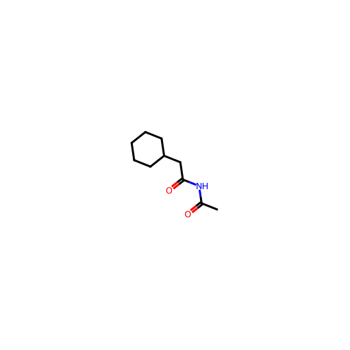 CC(=O)NC(=O)CC1CCCCC1